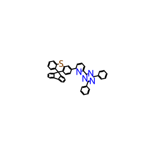 c1ccc(-c2nc(-c3ccccc3)nc(-c3cccc(-c4ccc5c(c4)Sc4ccccc4C54c5ccccc5-c5ccccc54)n3)n2)cc1